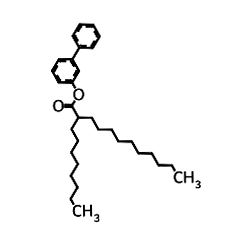 CCCCCCCCCCC(CCCCCCCC)C(=O)Oc1cccc(-c2ccccc2)c1